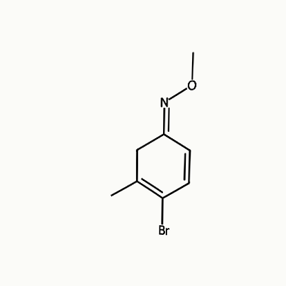 CON=C1C=CC(Br)=C(C)C1